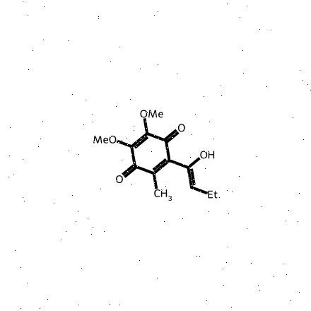 CCC=C(O)C1=C(C)C(=O)C(OC)=C(OC)C1=O